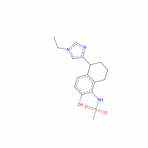 CS(=O)(=O)Nc1c(O)ccc2c1CCCC2c1cn(CI)cn1